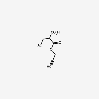 C#CCOC(=O)C(CC(C)=O)C(=O)O